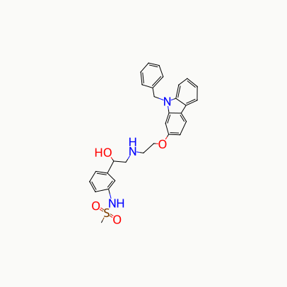 CS(=O)(=O)Nc1cccc(C(O)CNCCOc2ccc3c4ccccc4n(Cc4ccccc4)c3c2)c1